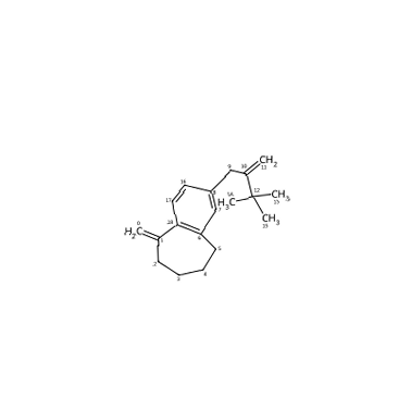 C=C1CCCCc2cc(CC(=C)C(C)(C)C)ccc21